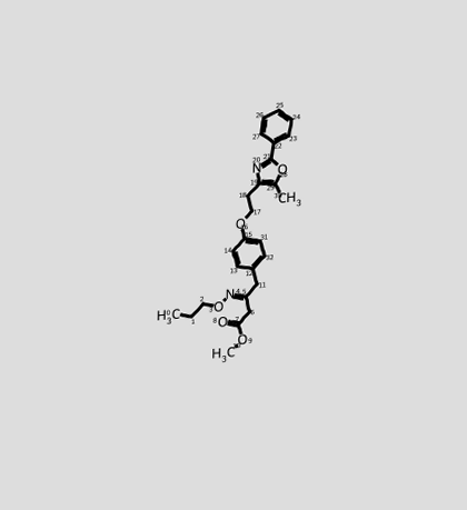 CCCON=C(CC(=O)OC)Cc1ccc(OCCc2nc(-c3ccccc3)oc2C)cc1